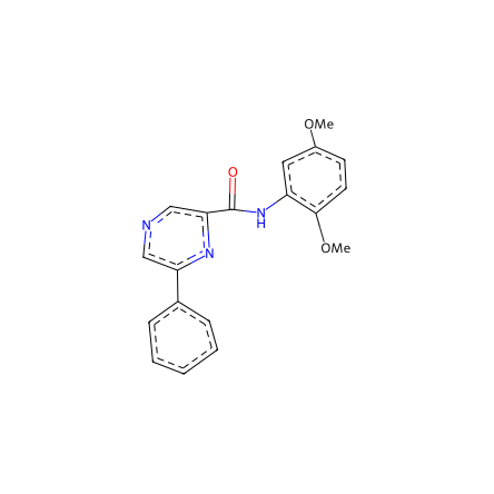 COc1ccc(OC)c(NC(=O)c2cncc(-c3ccccc3)n2)c1